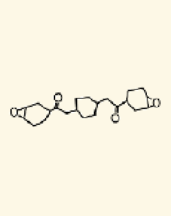 O=C(CC1CCC(CC(=O)C2CCC3OC3C2)CC1)C1CCC2OC2C1